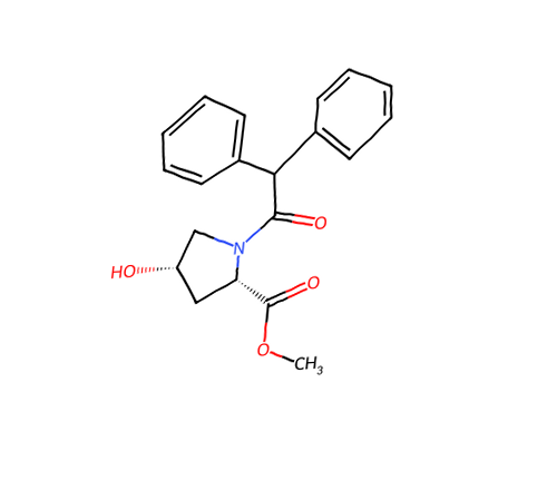 COC(=O)[C@@H]1C[C@H](O)CN1C(=O)C(c1ccccc1)c1ccccc1